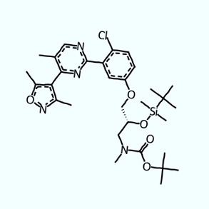 Cc1cnc(-c2cc(OC[C@@H](CN(C)C(=O)OC(C)(C)C)O[Si](C)(C)C(C)(C)C)ccc2Cl)nc1-c1c(C)noc1C